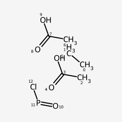 CC.CC(=O)O.CC(=O)O.O=PCl